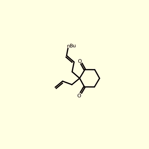 C=CCC1(C/C=C/CCCC)C(=O)CCCC1=O